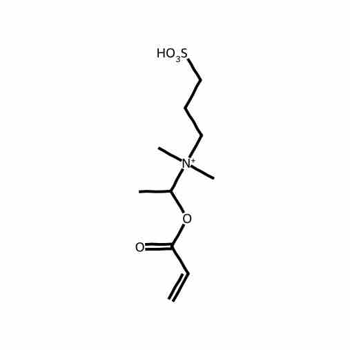 C=CC(=O)OC(C)[N+](C)(C)CCCS(=O)(=O)O